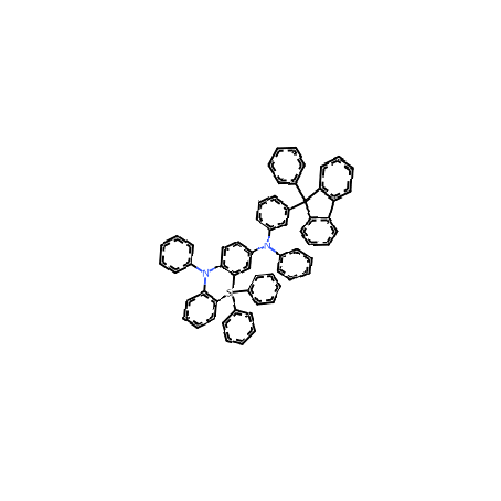 c1ccc(N(c2cccc(C3(c4ccccc4)c4ccccc4-c4ccccc43)c2)c2ccc3c(c2)[Si](c2ccccc2)(c2ccccc2)c2ccccc2N3c2ccccc2)cc1